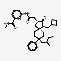 CCC(C)C[C@]1(c2ccccc2)CC[C@]2(CC1)CN(CC(=O)Nc1cccc(C(=O)NC)n1)C(=O)N2CC1CCC1